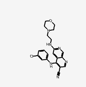 N#Cc1cnc2cnc(NCCN3CCOCC3)cc2c1Nc1cccc(Cl)c1